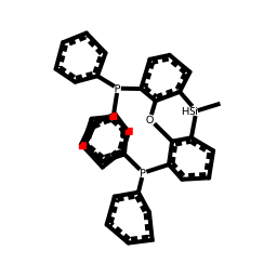 C[SiH]1c2cccc(P(c3ccccc3)c3ccccc3)c2Oc2c1cccc2P(c1ccccc1)c1ccccc1